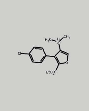 CCOC(=O)c1sc[c]([SnH]([CH3])[CH3])c1-c1ccc(Cl)cc1